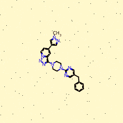 Cn1cc(-c2ccn3nnc(N4CCN(c5ncc(Cc6ccccc6)cn5)CC4)c3c2)cn1